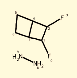 FC1C(F)C2CCC12.NN